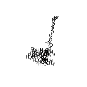 CC[C@@H](C)[C@H]([C@H](CC(=O)N1CCC[C@@H]1[C@@H](OC)[C@H](C)C(=O)N[C@H](Cc1ccccc1)C(=O)O)OC)N(C)C(=O)[C@H](NC(=O)[C@@H](C(C)C)N(C)C(=O)CCC[Si](C)(C)O[Si](C)(C)c1cccc(CC(=O)NCCOCCOCCOCCOCCOCCN=[N+]=[N-])c1)C(C)C